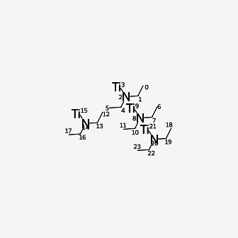 CC[N]([Ti])CC.CC[N]([Ti])CC.CC[N]([Ti])CC.CC[N]([Ti])CC